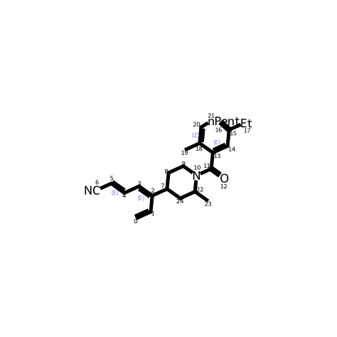 C=C/C(=C\C=C\C#N)C1CCN(C(=O)C(=C/C(=C)CC)/C(C)=C\CCCCC)C(C)C1